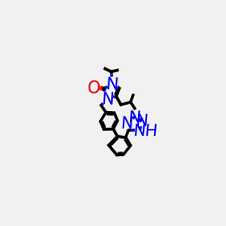 CC(C)Cc1cn(C(C)C)c(=O)n1Cc1ccc(-c2ccccc2-c2nnn[nH]2)cc1